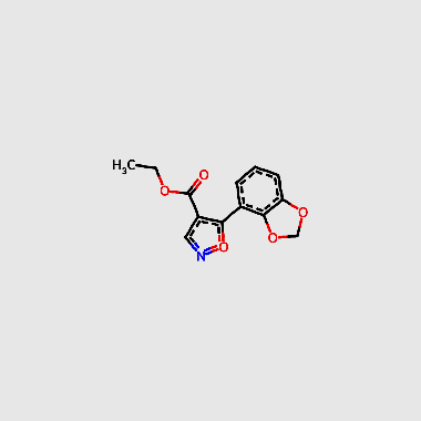 CCOC(=O)c1cnoc1-c1cccc2c1OCO2